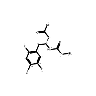 CC(C)(C)OC(=O)N[C@@H](CC(=O)N=O)Cc1cc(F)c(F)cc1F